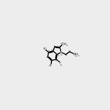 Cc1cc2c(F)cc(F)c(F)c2n1CCN